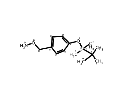 CC(C)(C)[Si](C)(C)Oc1ccc(CON)cc1